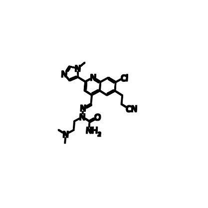 CN(C)CCN(/N=C/c1cc(-c2cncn2C)nc2cc(Cl)c(CCC#N)cc12)C(N)=O